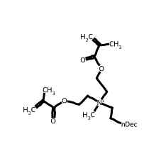 C=C(C)C(=O)OCC[N+](C)(CCCCCCCCCCCC)CCOC(=O)C(=C)C